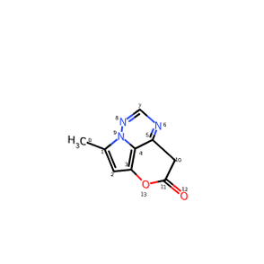 Cc1cc2c3c(ncnn13)CC(=O)O2